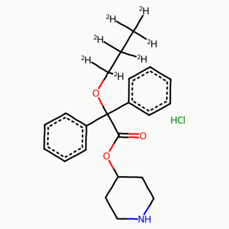 Cl.[2H]C([2H])([2H])C([2H])([2H])C([2H])([2H])OC(C(=O)OC1CCNCC1)(c1ccccc1)c1ccccc1